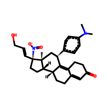 CN(C)c1ccc([C@H]2C[C@@]3(C)[C@@H](CC[C@]3(/C=C/CO)[N+](=O)[O-])[C@@H]3CCC4=CC(=O)CCC4=C32)cc1